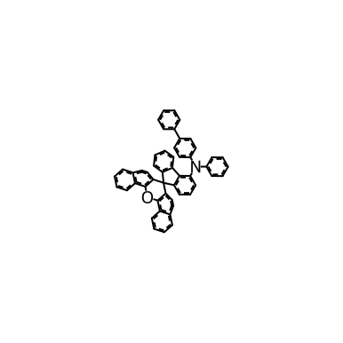 c1ccc(-c2ccc(N(c3ccccc3)c3cccc4c3-c3ccccc3C43c4ccc5ccccc5c4Oc4c3ccc3ccccc43)cc2)cc1